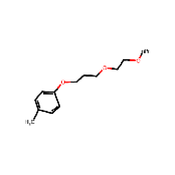 CCCOCCOCCCOc1ccc(C)cc1